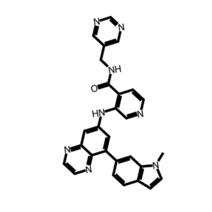 Cn1ccc2ccc(-c3cc(Nc4cnccc4C(=O)NCc4cncnc4)cc4nccnc34)cc21